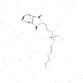 COCCOCCNP(=O)(Cl)NCCN1C(=O)C2C3C=CC(O3)C2C1=O